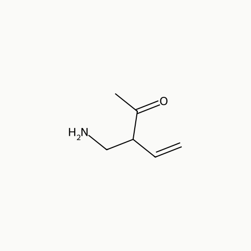 C=CC(CN)C(C)=O